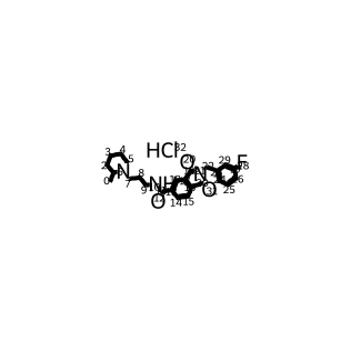 CC1CCCCN1CCCNC(=O)c1ccc2c(c1)C(=O)N(Cc1cccc(F)c1)C2=O.Cl